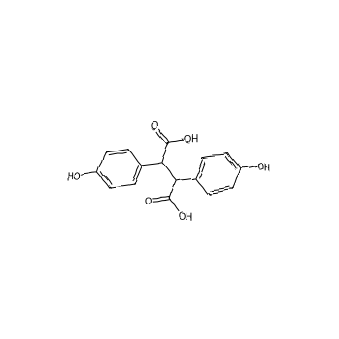 O=C(O)C(c1ccc(O)cc1)C(C(=O)O)c1ccc(O)cc1